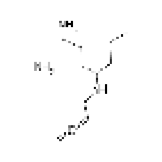 C=C=CCNC(C=CCN)CCC.N